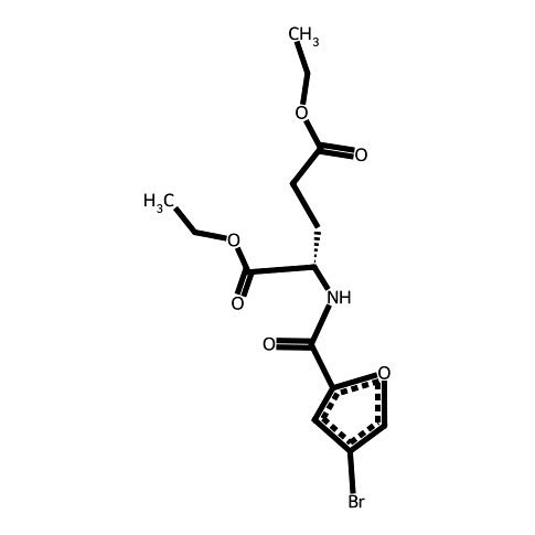 CCOC(=O)CC[C@H](NC(=O)c1cc(Br)co1)C(=O)OCC